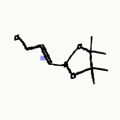 CC1(C)OB(/C=C/CCl)OC1(C)C